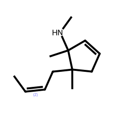 C/C=C\CC1(C)CC=CC1(C)NC